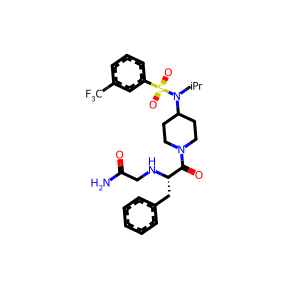 CC(C)N(C1CCN(C(=O)[C@H](Cc2ccccc2)NCC(N)=O)CC1)S(=O)(=O)c1cccc(C(F)(F)F)c1